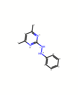 Cc1cc(C)nc(NNc2ccccc2)n1